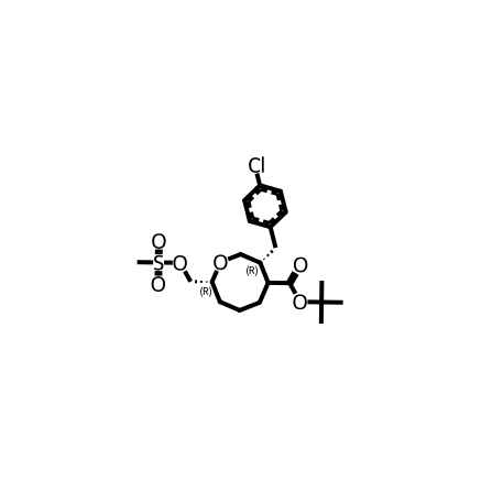 CC(C)(C)OC(=O)C1CCC[C@H](COS(C)(=O)=O)OC[C@@H]1Cc1ccc(Cl)cc1